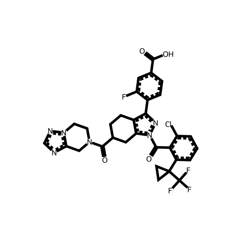 O=C(O)c1ccc(-c2nn(C(=O)c3c(Cl)cccc3C3(C(F)(F)F)CC3)c3c2CCC(C(=O)N2CCn4ncnc4C2)C3)c(F)c1